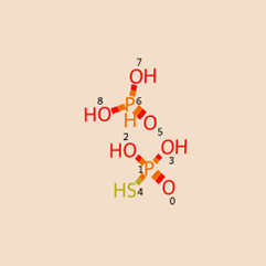 O=P(O)(O)S.O=[PH](O)O